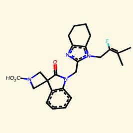 CC(C)=C(F)Cn1c(CN2C(=O)C3(CN(C(=O)O)C3)c3ccccc32)nc2c1CCCC2